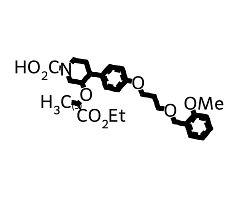 CCOC(=O)[C@H](C)OC1CN(C(=O)O)CCC1c1ccc(OCCCOCc2ccccc2OC)cc1